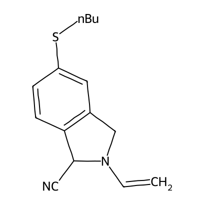 C=CN1Cc2cc(SCCCC)ccc2C1C#N